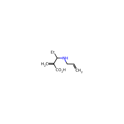 C=CCNC(CC)C(=C)C(=O)O